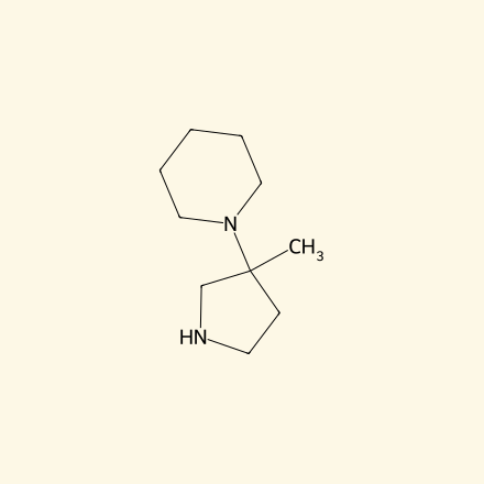 CC1(N2CCCCC2)CCNC1